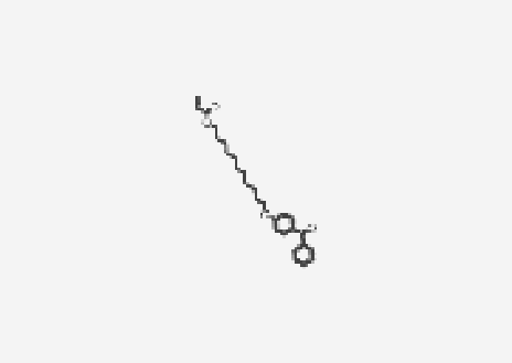 C=CC(=O)OCCCCCCCCCCCOc1ccc(C(=O)c2ccccc2)cc1